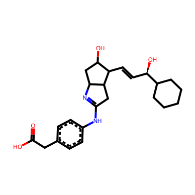 O=C(O)Cc1ccc(NC2=NC3CC(O)C(C=C[C@@H](O)C4CCCCC4)C3C2)cc1